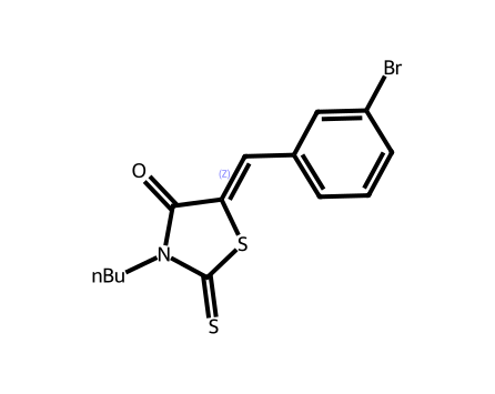 CCCCN1C(=O)/C(=C/c2cccc(Br)c2)SC1=S